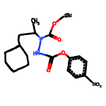 CC(CC1CCCCC1)N(NC(=O)Oc1ccc([N+](=O)[O-])cc1)C(=O)OC(C)(C)C